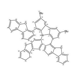 CC(C)(C)c1cc(-c2cccc3c2oc2ccccc23)c2c(c1)c1cc(C(C)(C)C)cc(-c3cccc4c3oc3ccccc34)c1n2-c1ccc2c3c(oc2c1)C=CCC3